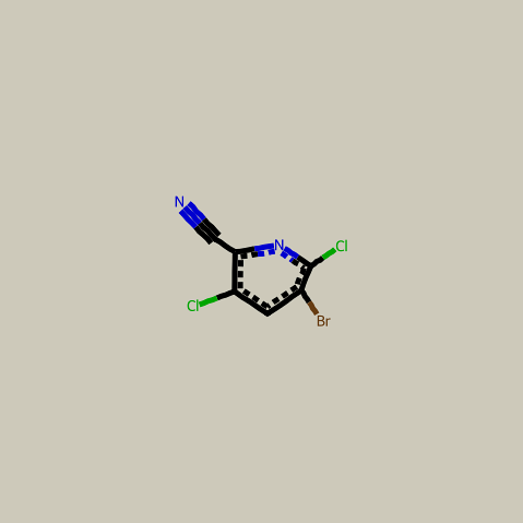 N#Cc1nc(Cl)c(Br)cc1Cl